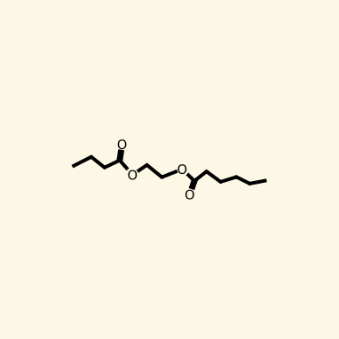 CCCCCC(=O)OCCOC(=O)CCC